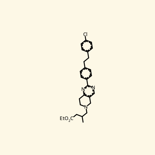 CCOC(=O)CC(C)CN1CCc2nc(-c3ccc(CCc4ccc(Cl)cc4)cc3)ncc2C1